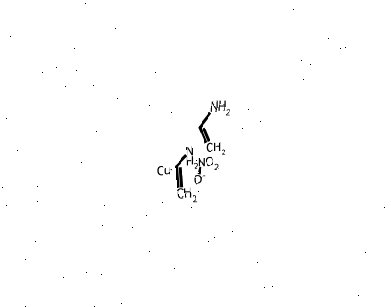 C=CN.C=CN.O=[N+]([O-])[O-].[Cu]